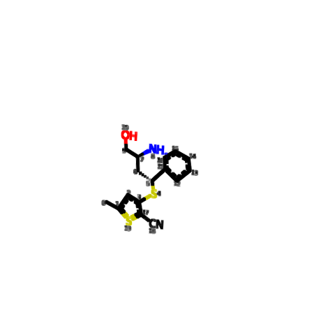 Cc1cc(S[C@H](C[C@H](N)CO)c2ccccc2)c(C#N)s1